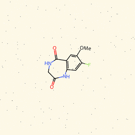 COc1cc2c(cc1F)NC(=O)CNC2=O